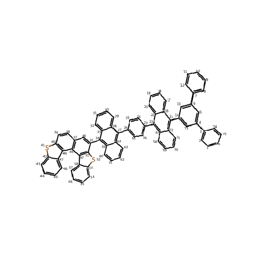 c1ccc(-c2cc(-c3ccccc3)cc(-c3c4ccccc4c(-c4ccc(-c5c6ccccc6c(-c6cc7ccc8sc9ccccc9c8c7c7c6sc6ccccc67)c6ccccc56)cc4)c4ccccc34)c2)cc1